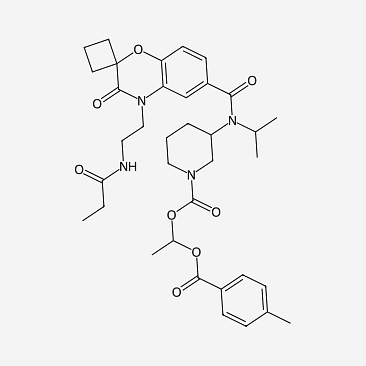 CCC(=O)NCCN1C(=O)C2(CCC2)Oc2ccc(C(=O)N(C(C)C)C3CCCN(C(=O)OC(C)OC(=O)c4ccc(C)cc4)C3)cc21